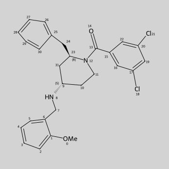 COc1ccccc1CN[C@H]1CCN(C(=O)c2cc(Cl)cc(Cl)c2)[C@H](Cc2ccccc2)C1